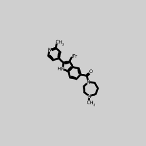 Cc1cc(-c2[nH]c3ccc(C(=O)N4CCCN(C)CC4)cc3c2C(C)C)ccn1